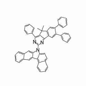 CC1(C)c2cc(-c3ccccc3)c(-c3ccccc3)cc2-c2nc(-n3c4cc5ccccc5cc4c4c5ccccc5ccc43)nc(-c3ccccc3)c21